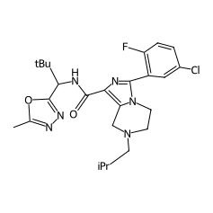 Cc1nnc(C(NC(=O)c2nc(-c3cc(Cl)ccc3F)n3c2CN(CC(C)C)CC3)C(C)(C)C)o1